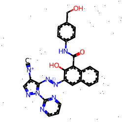 [C-]#[N+]c1cnn(-c2ncccn2)c1/N=N/c1cc2ccccc2c(C(=O)Nc2ccc(CO)cc2)c1O